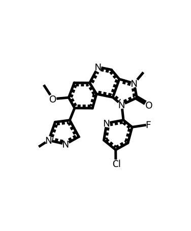 COc1cc2ncc3c(c2cc1-c1cnn(C)c1)n(-c1ncc(Cl)cc1F)c(=O)n3C